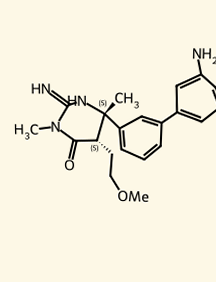 COCC[C@@H]1C(=O)N(C)C(=N)N[C@]1(C)c1cccc(-c2cccc(N)c2)c1